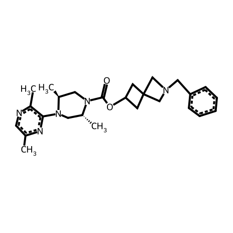 Cc1cnc(C)c(N2C[C@@H](C)N(C(=O)OC3CC4(C3)CN(Cc3ccccc3)C4)C[C@@H]2C)n1